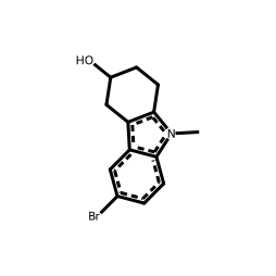 Cn1c2c(c3cc(Br)ccc31)CC(O)CC2